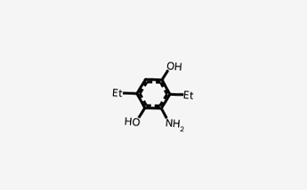 CCc1cc(O)c(CC)c(N)c1O